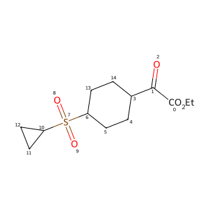 CCOC(=O)C(=O)C1CCC(S(=O)(=O)C2CC2)CC1